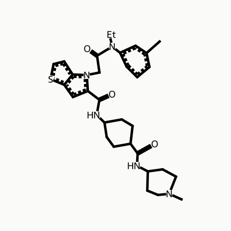 CCN(C(=O)Cn1c(C(=O)NC2CCC(C(=O)NC3CCN(C)CC3)CC2)cc2sccc21)c1cccc(C)c1